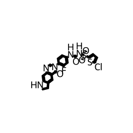 O=C(Nc1ccc(-n2cnc3cc4c(cc3c2=O)CCN4)c(F)c1)NS(=O)(=O)c1ccc(Cl)s1